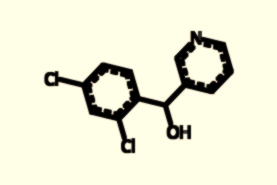 OC(c1cccnc1)c1ccc(Cl)cc1Cl